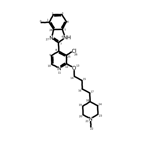 Cc1cccc2[nH]c(-c3ccnc(OCCCCC4CCN(C)CC4)c3Cl)nc12